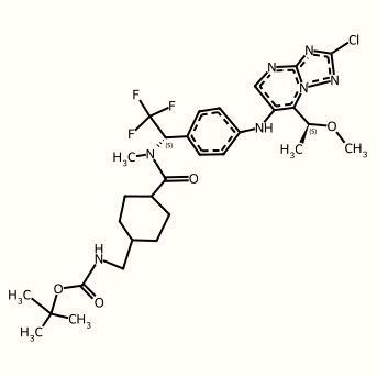 CO[C@@H](C)c1c(Nc2ccc([C@H](N(C)C(=O)C3CCC(CNC(=O)OC(C)(C)C)CC3)C(F)(F)F)cc2)cnc2nc(Cl)nn12